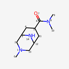 CN1CC2CC(C(=O)N(C)C)CC(C1)N2